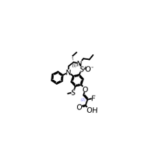 CCCN1[C@@H](CC)CN(c2ccccc2)c2cc(SC)c(O/C=C(\F)C(=O)O)cc2[S+]1[O-]